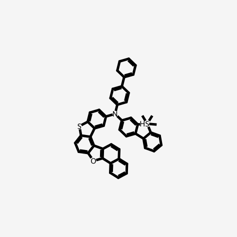 C[SH]1(C)(C)c2ccccc2-c2ccc(N(c3ccc(C4=CC=CCC4)cc3)c3ccc4sc5ccc6oc7c8ccccc8ccc7c6c5c4c3)cc21